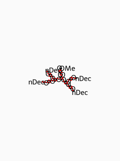 CCCCCCCCCCCCOc1ccc(COc2ccc(COc3cc(OCc4ccc(OCc5ccc(OCCCCCCCCCCCC)cc5)c(OCc5ccc(OCCCCCCCCCCCC)cc5)c4)cc(C(=O)Oc4ccc(C(=O)OC)cc4)c3)cc2OCc2ccc(OCCCCCCCCCCCC)cc2)cc1